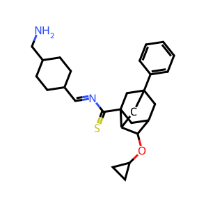 NCC1CCC(/C=N/C(=S)C23CC4CC(c5ccccc5)(CC2C4OC2CC2)C3)CC1